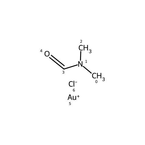 CN(C)C=O.[Au+].[Cl-]